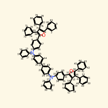 c1ccc(-c2oc(-c3ccc(N(c4ccccc4)c4ccc(-c5ccc(N(c6ccccc6)c6ccc(-c7oc(-c8ccccc8)c(-c8ccccc8)c7-c7ccccc7)cc6)cc5)cc4)cc3)c(-c3ccccc3)c2-c2ccccc2)cc1